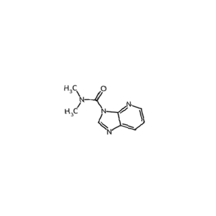 CN(C)C(=O)n1cnc2cccnc21